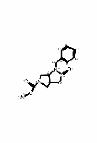 CC(C)(C)OC(=O)N1CC2OS(=O)N(Cc3ccccc3)C2C1